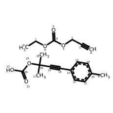 C#CCOC(=O)OCC.Cc1ccc(C#CC(C)(C)OC(=O)O)cc1